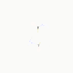 CN(C)C([O-])=S.NC([O-])=S.[Cu+2]